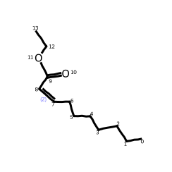 CCCCCCC/C=C\C(=O)OCC